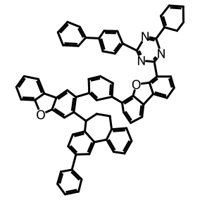 C1=CCCC(c2nc(-c3ccc(-c4ccccc4)cc3)nc(-c3cccc4c3oc3c(-c5cccc(-c6cc7c(cc6C6CCc8ccccc8-c8cc(-c9ccccc9)ccc86)oc6ccccc67)c5)cccc34)n2)=C1